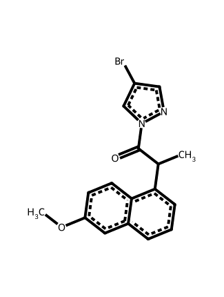 COc1ccc2c(C(C)C(=O)n3cc(Br)cn3)cccc2c1